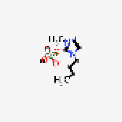 CCCCn1cc[n+](C)c1.[O-][Cl+3]([O-])([O-])[O-]